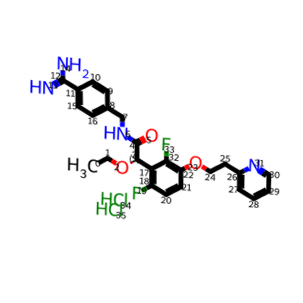 CCO[C@H](C(=O)NCc1ccc(C(=N)N)cc1)c1c(F)ccc(OCCc2ccccn2)c1F.Cl.Cl